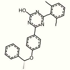 Cc1cccc(C)c1-c1nc(O)nc(-c2ccc(O[C@H](C)c3ccccc3)cc2)n1